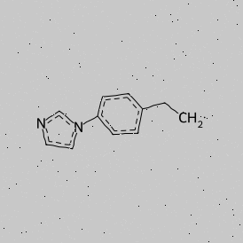 [CH2]Cc1ccc(-n2ccnc2)cc1